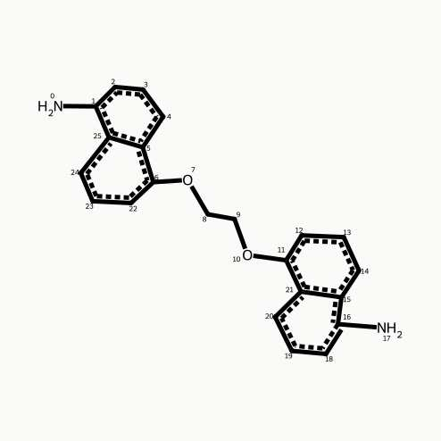 Nc1cccc2c(OCCOc3cccc4c(N)cccc34)cccc12